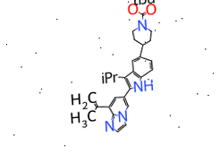 C=C(C)c1cc(-c2[nH]c3ccc(C4CCN(C(=O)OC(C)(C)C)CC4)cc3c2C(C)C)cn2ccnc12